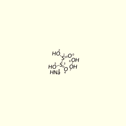 O=S(O)S(=O)O.OO.[NaH]